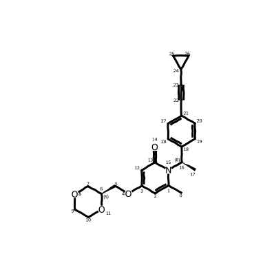 Cc1cc(OC[C@@H]2COCCO2)cc(=O)n1[C@H](C)c1ccc(C#CC2CC2)cc1